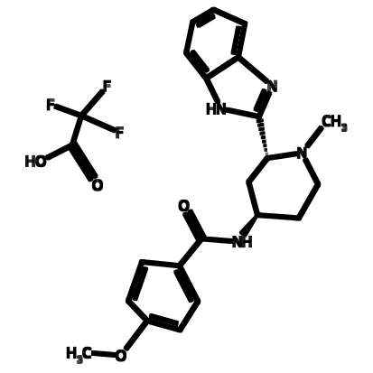 COc1ccc(C(=O)N[C@@H]2CCN(C)[C@@H](c3nc4ccccc4[nH]3)C2)cc1.O=C(O)C(F)(F)F